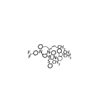 CC/C=C\C=C1/CCc2ccccc2N(c2ccc(C(F)F)cc2)c2ccc3c(c2)N1c1cccc2c1B3C(Sc1ccccc1C)=CN2C1=CCCC2=C1c1ccccc1C2(C)C